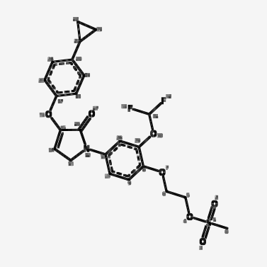 CS(=O)(=O)OCCOc1ccc(N2CC=C(Oc3ccc(C4CC4)cc3)C2=O)cc1OC(F)F